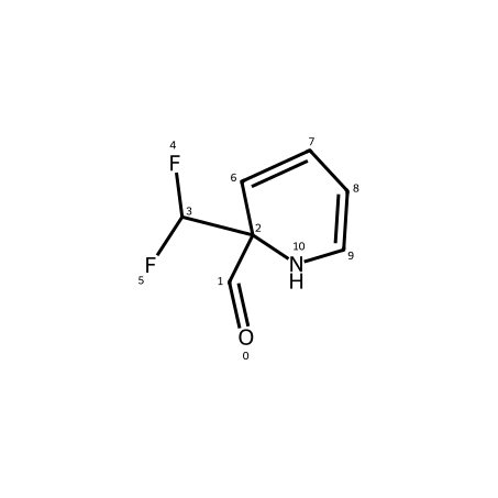 O=CC1(C(F)F)C=CC=CN1